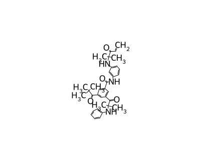 C=CC(=O)C(C)(C)Nc1cccc(NC(=O)c2cc(C(=O)C(C)(C)C)cc(C(=O)C(C)(C)Nc3ccccc3)c2)c1